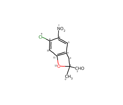 CC1(C=O)Cc2cc([N+](=O)[O-])c(Cl)cc2O1